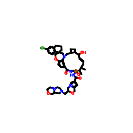 CC1C/C=C/C(O)C2CCC2CN2CC3(CCCc4cc(Cl)ccc43)COc3ccc(cc32)C(=O)N=S(=O)(NC(=O)c2cc3n(c2)CC(CN2CCN4CCOCC4C2)OC3)C1C